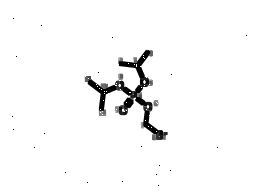 CC(C)OP(=O)(OCBr)OC(C)C